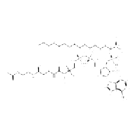 CC(=O)SCCNC(=O)CCNC(=O)[C@H](O)C(C)(C)COP(=O)(O)OP(=O)(O)OC[C@H]1O[C@@H](n2cnc3c(N)ncnc32)[C@H](O)[C@@H]1OP(=O)(O)O.CCCCCCCCCCCCCCC[11C](=O)O